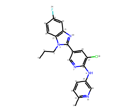 CCCn1c(-c2cnc(Nc3ccc(C)nc3)c(Cl)c2)nc2cc(F)ccc21